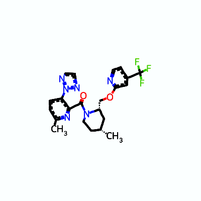 Cc1ccc(-n2nccn2)c(C(=O)N2CC[C@@H](C)C[C@H]2COc2cc(C(F)(F)F)ccn2)n1